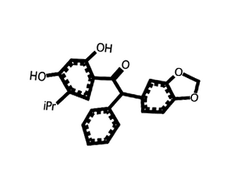 CC(C)c1cc(C(=O)C(c2ccccc2)c2ccc3c(c2)OCO3)c(O)cc1O